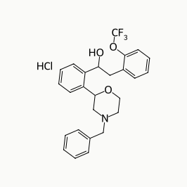 Cl.OC(Cc1ccccc1OC(F)(F)F)c1ccccc1C1CN(Cc2ccccc2)CCO1